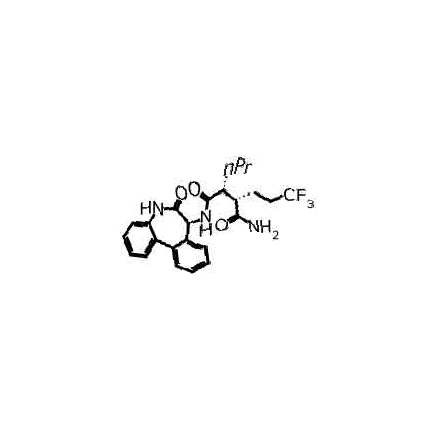 CCC[C@@H](C(=O)N[C@@H]1C(=O)Nc2ccccc2-c2ccccc21)[C@H](CCC(F)(F)F)C(N)=O